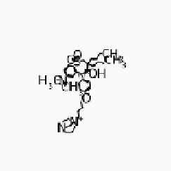 CCCCC1(CCCC)CS(=O)(=O)c2ccc(N(C)C)cc2[C@@H](c2ccc(OCCCC[N+]34CCCN(CC3)CC4)cc2)[C@H]1O